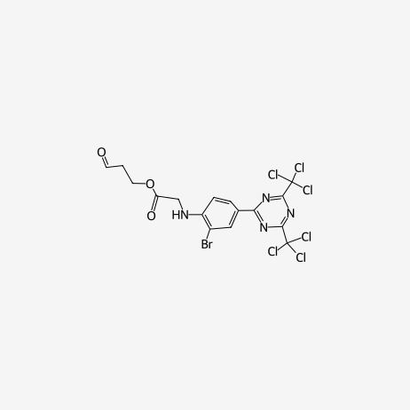 O=CCCOC(=O)CNc1ccc(-c2nc(C(Cl)(Cl)Cl)nc(C(Cl)(Cl)Cl)n2)cc1Br